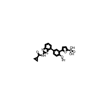 CC(C)Oc1ccc(-c2cccc3nc(NC(=O)C4CC4)sc23)cc1-c1ccc(P(=O)(O)O)o1